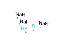 F.F.[NaH].[NaH].[NaH]